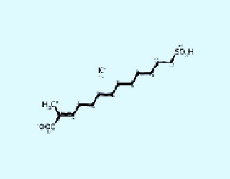 CC(=CCCCCCCCCCCS(=O)(=O)O)C(=O)[O-].[K+]